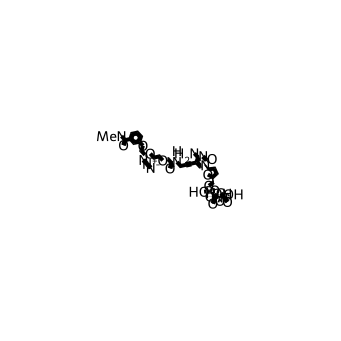 CNC(=O)c1cccc(OCC(N=[N+]=[N-])OCCOCC(=O)NCC#Cc2cn([C@H]3CC[C@@H](COP(=O)(O)OP(=O)(O)OP(=O)(O)O)O3)c(=O)nc2N)c1